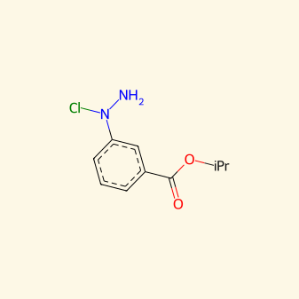 CC(C)OC(=O)c1cccc(N(N)Cl)c1